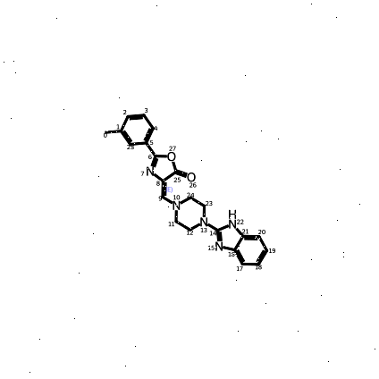 Cc1cccc(C2=N/C(=C/N3CCN(c4nc5ccccc5[nH]4)CC3)C(=O)O2)c1